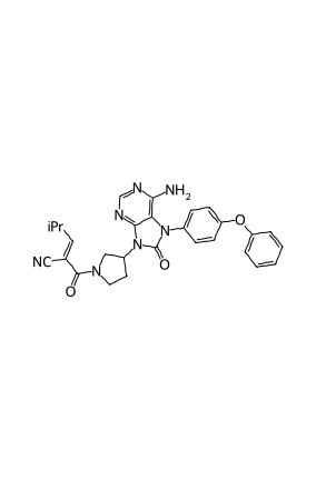 CC(C)C=C(C#N)C(=O)N1CCC(n2c(=O)n(-c3ccc(Oc4ccccc4)cc3)c3c(N)ncnc32)C1